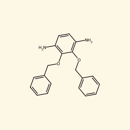 Nc1ccc(N)c(OCc2ccccc2)c1OCc1ccccc1